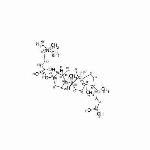 C[C@H](CCC(=O)O)[C@H]1CCC2[C@@H]3CC[C@@H]4C[C@H](OP(=O)(O)OCC[N+](C)(C)C)CC[C@]4(C)[C@H]3CC[C@@]21C